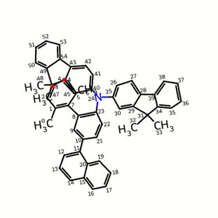 Cc1cccc(C)c1-c1cc(-c2cccc3ccccc23)ccc1N(c1ccc2c(c1)C(C)(C)c1ccccc1-2)c1ccc2c(c1)C(C)(C)c1ccccc1-2